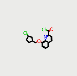 O=C(Cl)c1ccc2cccc(OCC3CCC(Cl)C3)c2n1